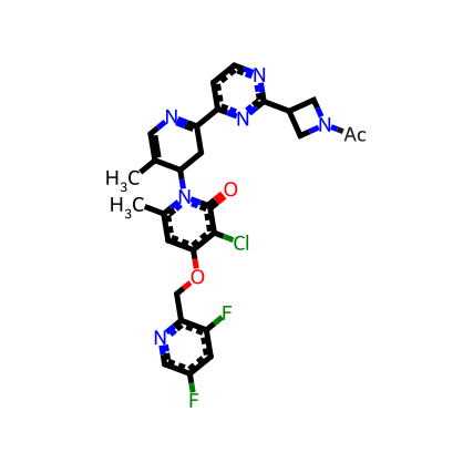 CC(=O)N1CC(c2nccc(C3=NC=C(C)C(n4c(C)cc(OCc5ncc(F)cc5F)c(Cl)c4=O)C3)n2)C1